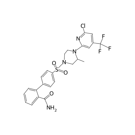 CC1CN(S(=O)(=O)c2ccc(-c3ccccc3C(N)=O)cc2)CCN1c1cc(C(F)(F)F)cc(Cl)n1